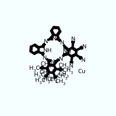 CC(C)(C)c1c2c(c(C(C)(C)C)c(C(C)(C)C)c1C(C)(C)C)-c1nc-2nc2[nH]c(nc3nc(nc4[nH]c(n1)c1c(C#N)c(C#N)c(C#N)c(C#N)c41)-c1ccccc1-3)c1ccccc21.[Cu]